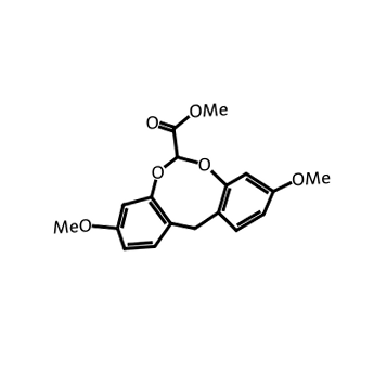 COC(=O)C1Oc2cc(OC)ccc2Cc2ccc(OC)cc2O1